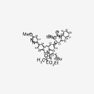 CCOC(=O)C(C)(C)Cc1c(SC(C)(C)C)c2cc(OCC3Cc4ccccc4N3C(=O)OC(C)(C)C)ccc2n1Cc1ccc(-c2ccc(OC)nn2)cc1